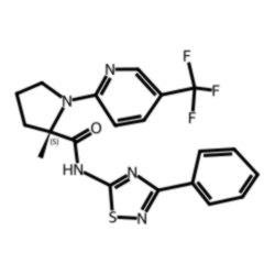 C[C@@]1(C(=O)Nc2nc(-c3ccccc3)ns2)CCCN1c1ccc(C(F)(F)F)cn1